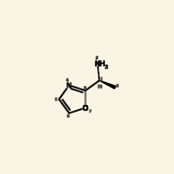 C[C@H](N)c1ncco1